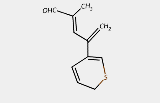 C=C(C=C(C)C=O)C1=CSCC=C1